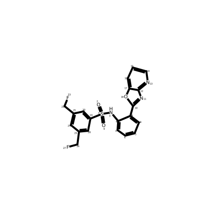 O=S(=O)(Nc1ccccc1-c1nc2ncccc2o1)c1cc(CF)cc(CF)c1